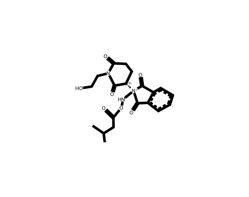 CC(C)CC(=O)ON[N+]1([C@H]2CCC(=O)N(CCO)C2=O)C(=O)c2ccccc2C1=O